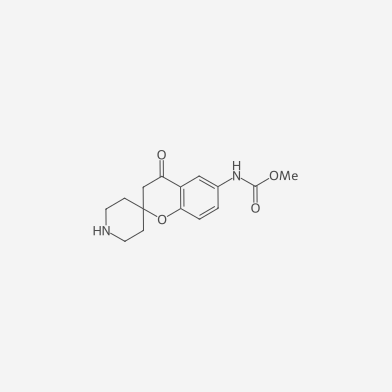 COC(=O)Nc1ccc2c(c1)C(=O)CC1(CCNCC1)O2